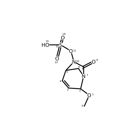 COC1C=CC2CN1C(=O)N2OS(=O)(=O)O